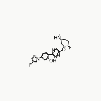 CNC1CCC(F)[C@@H](Oc2cnc(-c3ccc(-n4cc(F)cn4)cc3O)nn2)C1